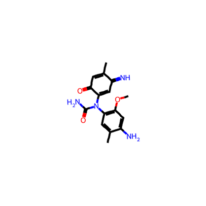 COc1cc(N)c(C)cc1N(C(N)=O)C1=CC(=N)C(C)=CC1=O